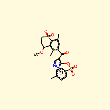 CCOC1CCS(=O)(=O)c2c(C)cc(C(=O)c3cnn(CC)c3OS(=O)(=O)c3ccc(C)cc3)c(C)c21